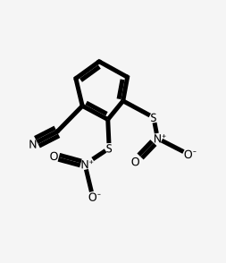 N#Cc1cccc(S[N+](=O)[O-])c1S[N+](=O)[O-]